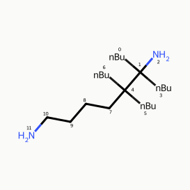 CCCCC(N)(CCCC)C(CCCC)(CCCC)CCCCN